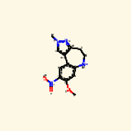 COc1cc2c(cc1[N+](=O)[O-])-c1cn(C)nc1CCN2